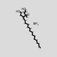 CCCCCCCCCCCCCCCCC(CCO)C(C)(Cl)CCO.N